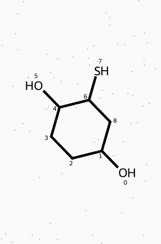 OC1CCC(O)C(S)C1